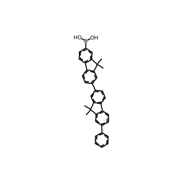 CC1(C)c2cc(B(O)O)ccc2-c2ccc(-c3ccc4c(c3)C(C)(C)c3cc(-c5ccccc5)ccc3-4)cc21